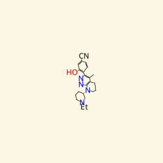 CCN1CCC[C@H](N2CCCc3c2nnc(-c2ccc(C#N)cc2O)c3C)C1